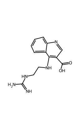 N=C(N)NCCNc1c(C(=O)O)cnc2ccccc12